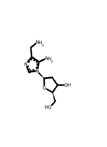 NCc1ncn([C@H]2CC(O)[C@@H](CO)O2)c1N